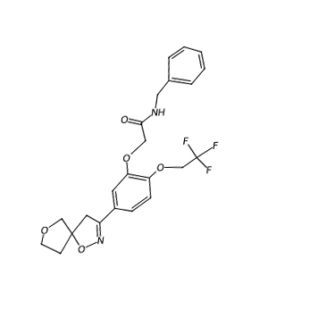 O=C(COc1cc(C2=NOC3(CCOC3)C2)ccc1OCC(F)(F)F)NCc1ccccc1